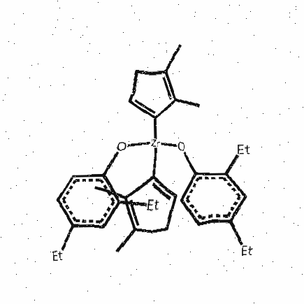 CCc1ccc([O][Zr]([O]c2ccc(CC)cc2CC)([C]2=CCC(C)=C2C)[C]2=CCC(C)=C2C)c(CC)c1